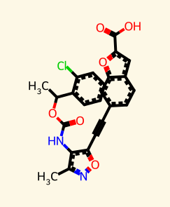 Cc1noc(C#Cc2ccc3cc(C(=O)O)oc3c2)c1NC(=O)OC(C)c1ccccc1Cl